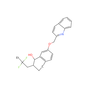 CCC(F)(F)CC1CCc2ccc(OCc3ccc4ccccc4n3)cc2C1O